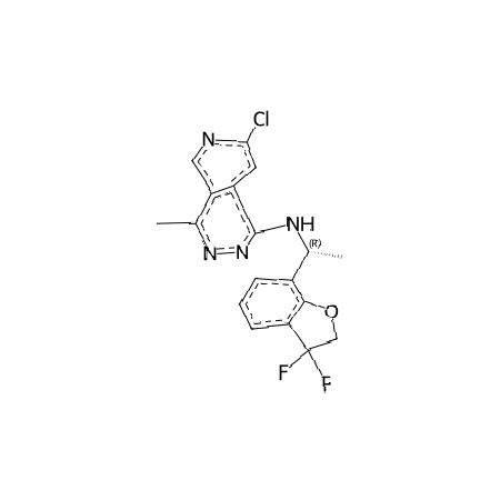 Cc1nnc(N[C@H](C)c2cccc3c2OCC3(F)F)c2cc(Cl)ncc12